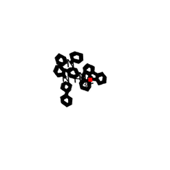 CC12c3ccccc3-c3cccc(c31)N(c1cc(N(c3ccccc3)c3ccccc3)c3c4ccccc4n(-c4ccc(-c5ccccc5)cc4)c3c1)c1ccccc12